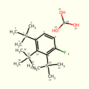 C[Si](C)(C)c1ccc(F)c([Si](C)(C)C)c1[Si](C)(C)C.OB(O)O